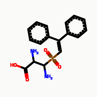 NC(C(=O)O)C(N)S(=O)(=O)C=C(c1ccccc1)c1ccccc1